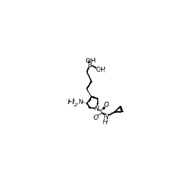 N[C@H]1CN(S(=O)(=O)NC2CC2)C[C@@H]1CCCB(O)O